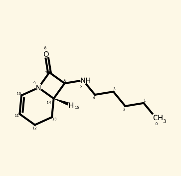 CCCCCNC1C(=O)N2C=CCC[C@@H]12